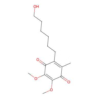 COC1=C(OC)C(=O)C(CCCCCCO)=C(C)C1=O